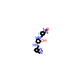 Cn1c(=O)n(C)c2cc(CN[C@H]3CC[C@H](NCc4cccc5cncnc45)C[C@H]3O)c(F)cc21